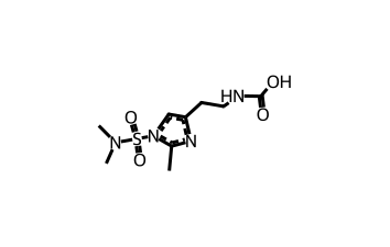 Cc1nc(CCNC(=O)O)cn1S(=O)(=O)N(C)C